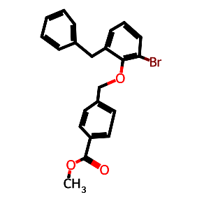 COC(=O)c1ccc(COc2c(Br)cccc2Cc2ccccc2)cc1